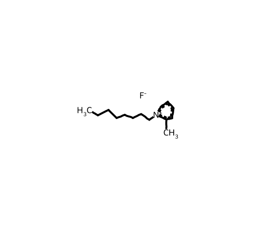 CCCCCCCC[n+]1ccccc1C.[F-]